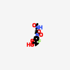 CC(=O)NC[C@H]1CN(c2ccc(C3(C(=O)O)CC3)c(F)c2)C(=O)O1